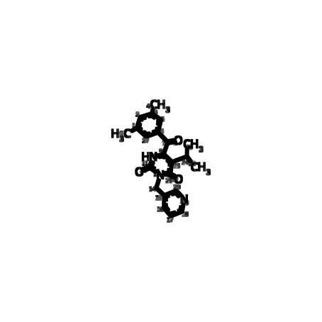 Cc1cc(C)cc(C(=O)c2[nH]c(=O)n(Cc3cccnc3)c(=O)c2C(C)C)c1